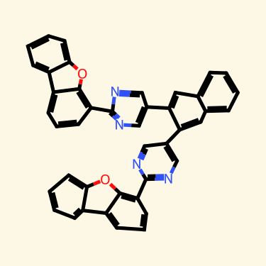 c1ccc2cc(-c3cnc(-c4cccc5c4oc4ccccc45)nc3)c(-c3cnc(-c4cccc5c4oc4ccccc45)nc3)cc2c1